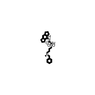 CN(CCCCS(=O)(=O)NC(=O)Nc1c2c(cc3c1CCC3)CCC2)Cc1ccccc1